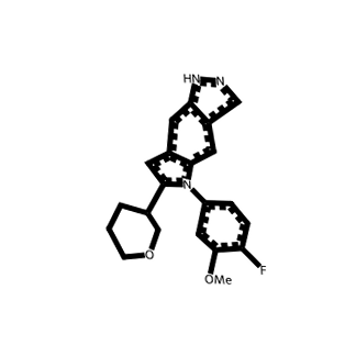 COc1cc(-n2c(C3CCCOC3)cc3cc4[nH]ncc4cc32)ccc1F